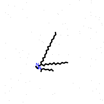 CCCCCCCCCCCCCCCCCC(CCCCCCCCCCCCC)c1nccn1C(C)CCCCCC